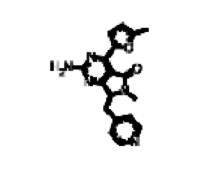 Cc1ccc(-c2nc(N)nc3c2C(=O)N(C)C3Cc2ccncc2)o1